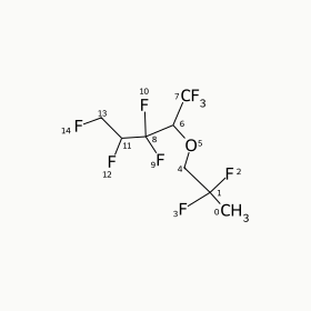 CC(F)(F)COC(C(F)(F)F)C(F)(F)C(F)CF